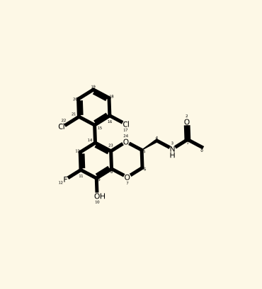 CC(=O)NC[C@H]1COc2c(O)c(F)cc(-c3c(Cl)cccc3Cl)c2O1